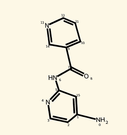 Nc1ccnc(NC(=O)c2cccnc2)c1